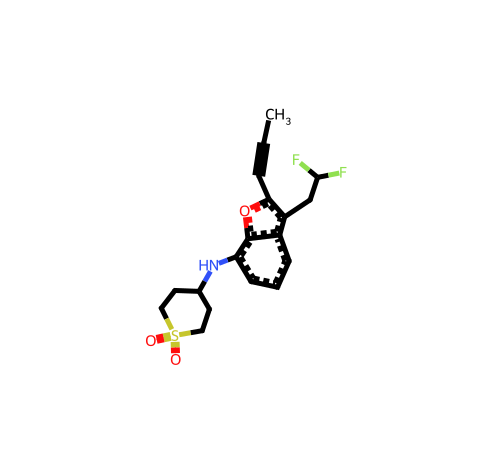 CC#Cc1oc2c(NC3CCS(=O)(=O)CC3)cccc2c1CC(F)F